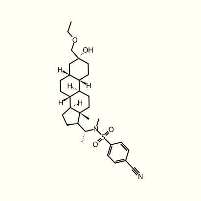 CCOC[C@@]1(O)CC[C@H]2[C@H](CC[C@@H]3[C@@H]2CC[C@]2(C)[C@@H]([C@@H](C)N(C)S(=O)(=O)c4ccc(C#N)cc4)CC[C@@H]32)C1